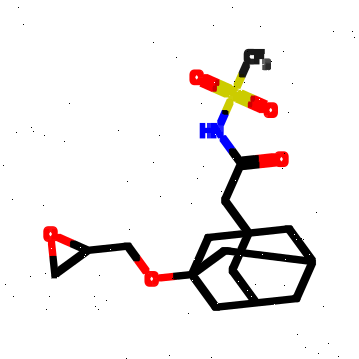 O=C(CC12CC3CC(C1)CC(OCC1CO1)(C3)C2)NS(=O)(=O)C(F)(F)F